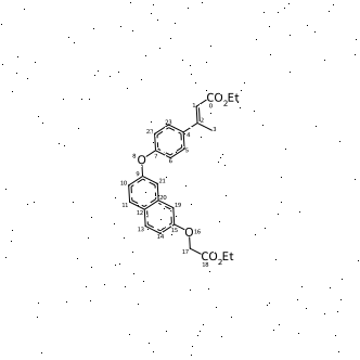 CCOC(=O)C=C(C)c1ccc(Oc2ccc3ccc(OCC(=O)OCC)cc3c2)cc1